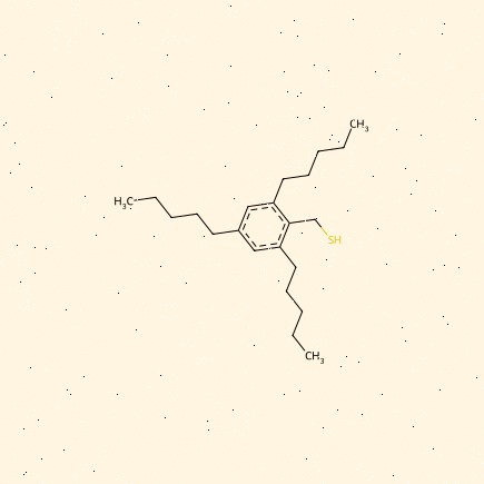 CCCCCc1cc(CCCCC)c(CS)c(CCCCC)c1